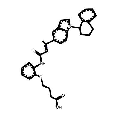 C/C(=C\C(=O)Nc1ccccc1OCCCC(=O)O)c1ccc2c(ccn2C2CCCc3ccccc32)c1